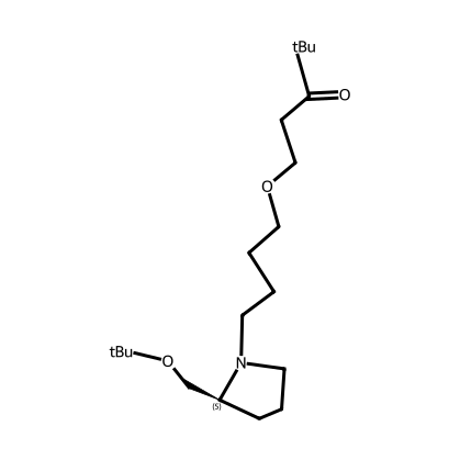 CC(C)(C)OC[C@@H]1CCCN1CCCCOCCC(=O)C(C)(C)C